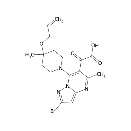 C=CCOC1(C)CCN(c2c(C(=O)C(=O)O)c(C)nc3cc(Br)nn23)CC1